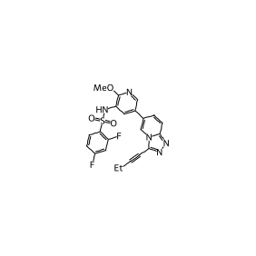 CCC#Cc1nnc2ccc(-c3cnc(OC)c(NS(=O)(=O)c4ccc(F)cc4F)c3)cn12